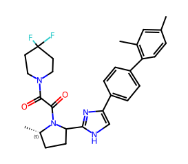 Cc1ccc(-c2ccc(-c3c[nH]c(C4CC[C@H](C)N4C(=O)C(=O)N4CCC(F)(F)CC4)n3)cc2)c(C)c1